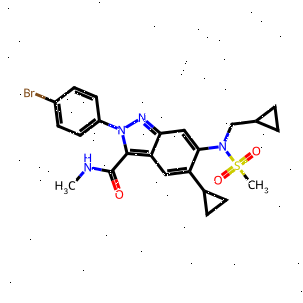 CNC(=O)c1c2cc(C3CC3)c(N(CC3CC3)S(C)(=O)=O)cc2nn1-c1ccc(Br)cc1